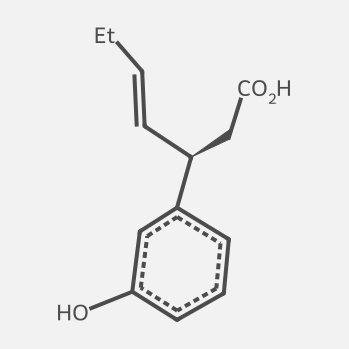 CCC=C[C@@H](CC(=O)O)c1cccc(O)c1